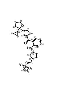 NS(=O)(=O)OC[C@@H]1CC[C@H](Nc2ncncc2C(=O)c2cc(C3(C4CC4)CCCO3)cs2)C1